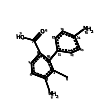 Cc1c(N)ccc(C(=O)O)c1-c1ccc(N)cc1